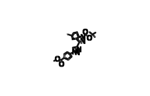 COC(=O)c1ccc(-n2cc(-c3nn(C(=O)OC(C)(C)C)c4ccc(C)cc34)nn2)cc1